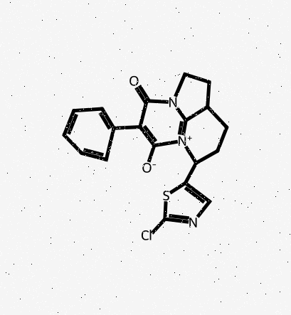 O=c1c(-c2ccccc2)c([O-])[n+]2c3n1CCC3CCC2c1cnc(Cl)s1